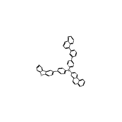 c1cc(-c2ccc(N(c3ccc(-c4ccc5sc6ccccc6c5c4)cc3)c3ccc4c(ccc5ccccc54)c3)cc2)cc(-c2cccc3ccccc23)c1